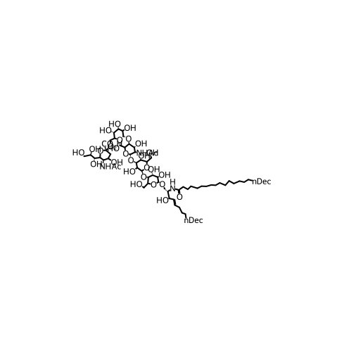 CCCCCCCCCCCCC/C=C/[C@@H](O)[C@H](CO[C@@H]1OC(CO)[C@@H](O[C@@H]2OC(CO)[C@H](O)[C@H](O[C@@H]3OC(CO)[C@@H](O[C@@H]4OC(CO[C@]5(C(=O)O)CC(O)[C@@H](NC(C)=O)C([C@H](O)[C@H](O)CO)O5)[C@H](O)[C@H](O)C4O)[C@H](O)C3NC(C)=O)C2O)[C@H](O)C1O)NC(=O)CCCCCCCCCCCCCCCCCCCCCCCCC